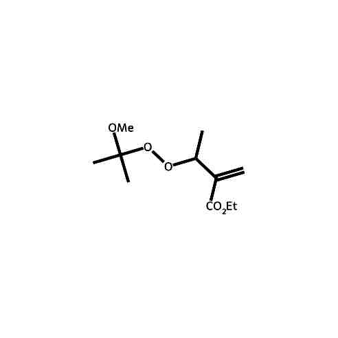 C=C(C(=O)OCC)C(C)OOC(C)(C)OC